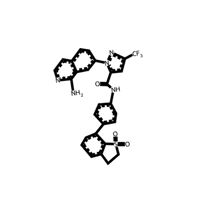 Nc1nccc2ccc(-n3nc(C(F)(F)F)cc3C(=O)Nc3ccc(-c4cccc5c4S(=O)(=O)CC5)cc3)cc12